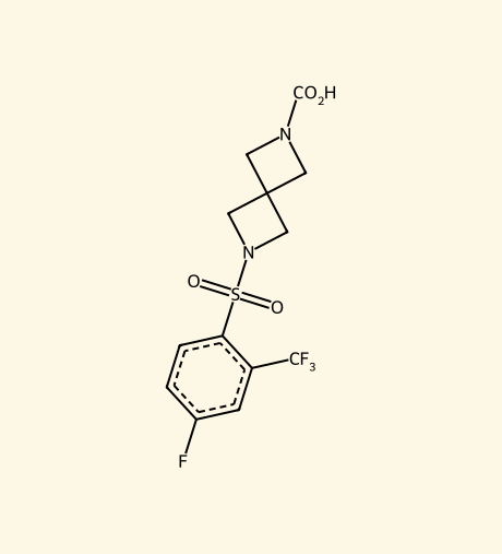 O=C(O)N1CC2(C1)CN(S(=O)(=O)c1ccc(F)cc1C(F)(F)F)C2